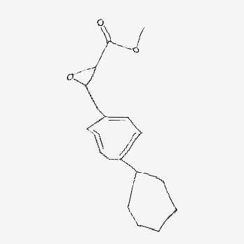 COC(=O)C1OC1c1ccc(C2CCCCC2)cc1